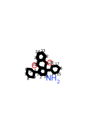 Nc1cc(C2CCCCC2)c2c(c1C1CCCCC1)C(=O)c1ccccc1C2=O